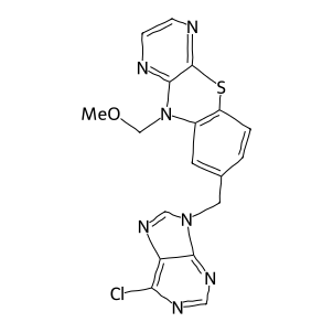 COCN1c2cc(Cn3cnc4c(Cl)ncnc43)ccc2Sc2nccnc21